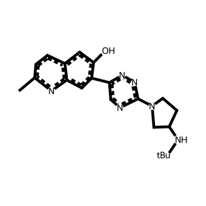 Cc1ccc2cc(O)c(-c3cnc(N4CCC(NC(C)(C)C)C4)nn3)cc2n1